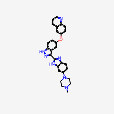 CN1CCN(c2ccc3nc(-c4n[nH]c5ccc(Oc6ccc7ncccc7c6)cc45)[nH]c3c2)CC1